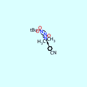 CC(C)(C)OC(=O)N1CCN2C(=O)N(C(C)(C)C#Cc3ccc(C#N)cc3)CC2C1